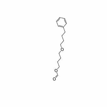 O=COCCCCOCCCCc1ccccc1